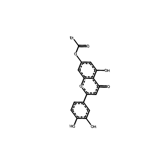 CCC(=O)Oc1cc(O)c2c(=O)cc(-c3ccc(O)c(O)c3)oc2c1